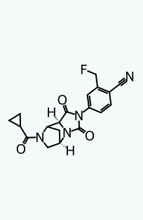 N#Cc1ccc(N2C(=O)[C@@H]3C4C[C@H](CN4C(=O)C4CC4)N3C2=O)cc1CF